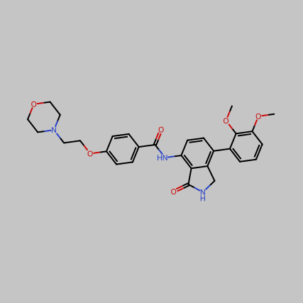 COc1cccc(-c2ccc(NC(=O)c3ccc(OCCN4CCOCC4)cc3)c3c2CNC3=O)c1OC